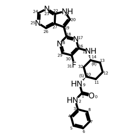 O=C(Nc1ccccc1)N[C@H]1CCC[C@@H](Nc2nc(-c3c[nH]c4ncncc34)ncc2F)C1